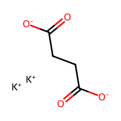 O=C([O-])CCC(=O)[O-].[K+].[K+]